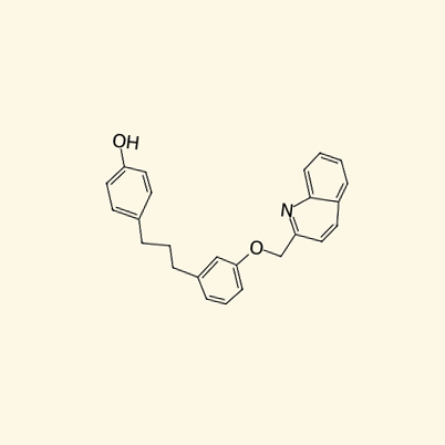 Oc1ccc(CCCc2cccc(OCc3ccc4ccccc4n3)c2)cc1